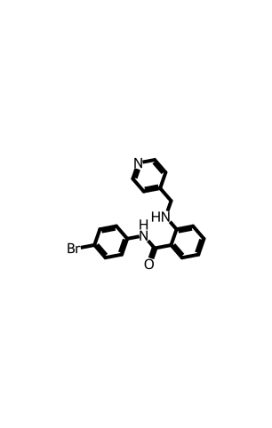 O=C(Nc1ccc(Br)cc1)c1ccccc1NCc1ccncc1